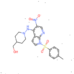 Cc1ccc(S(=O)(=O)n2ccc3c(NN4CCC(CO)CC4)c([N+](=O)[O-])cnc32)cc1